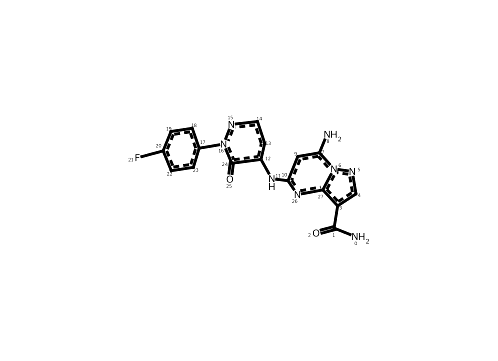 NC(=O)c1cnn2c(N)cc(Nc3ccnn(-c4ccc(F)cc4)c3=O)nc12